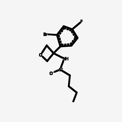 CCCC[S+]([O-])NC1(c2ccc(F)cc2Br)COC1